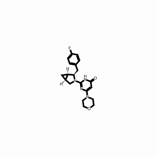 O=c1cc(N2CCOCC2)nc(N2C[C@H]3C[C@H]3[C@H]2Cc2ccc(F)cc2)[nH]1